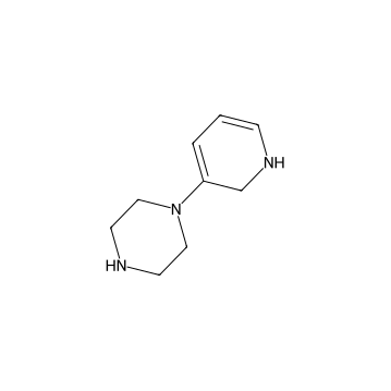 C1=CNCC(N2CCNCC2)=C1